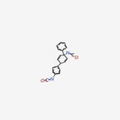 O=C=Nc1ccc(C2C=CC(N=C=O)(c3ccccc3)C=C2)cc1